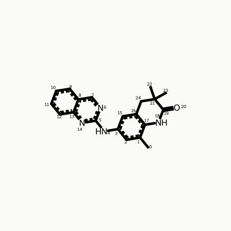 Cc1cc(Nc2ncc3ccccc3n2)cc2c1NC(=O)C(C)(C)C2